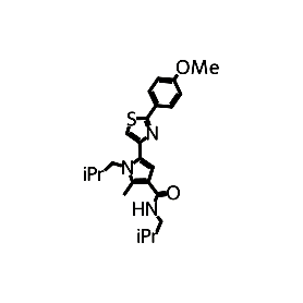 COc1ccc(-c2nc(-c3cc(C(=O)NCC(C)C)c(C)n3CC(C)C)cs2)cc1